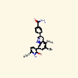 COc1ccc(-c2cc(C(C)(C)C)c(OC)c3cc(-c4ccc(C(N)=O)cc4)cnc23)c(=O)[nH]1